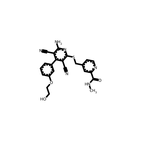 CNC(=O)c1cc(CSc2nc(N)c(C#N)c(-c3cccc(OCCO)c3)c2C#N)ccn1